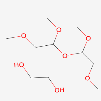 COCC(OC)OC(COC)OC.OCCO